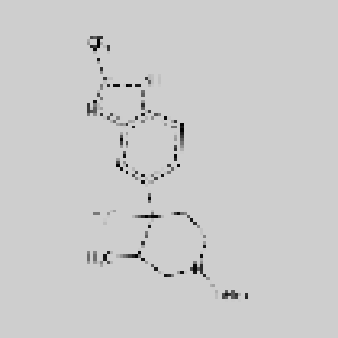 CCCCCCN1CCC(C)(c2ccc3[nH]c(C(F)(F)F)nc3c2)C(C)C1